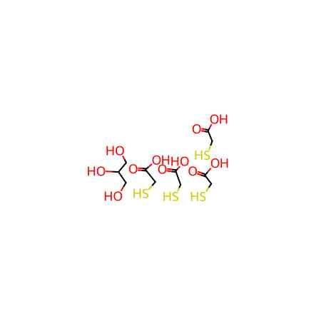 O=C(O)CS.O=C(O)CS.O=C(O)CS.O=C(O)CS.OCC(O)CO